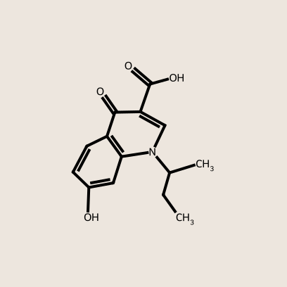 CCC(C)n1cc(C(=O)O)c(=O)c2ccc(O)cc21